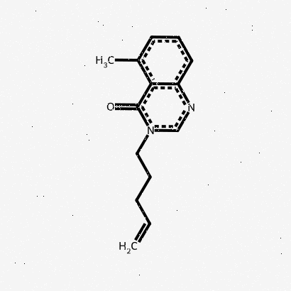 C=CCCCn1cnc2cccc(C)c2c1=O